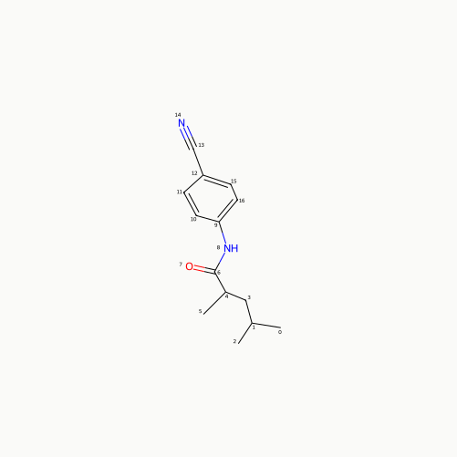 CC(C)CC(C)C(=O)Nc1ccc(C#N)cc1